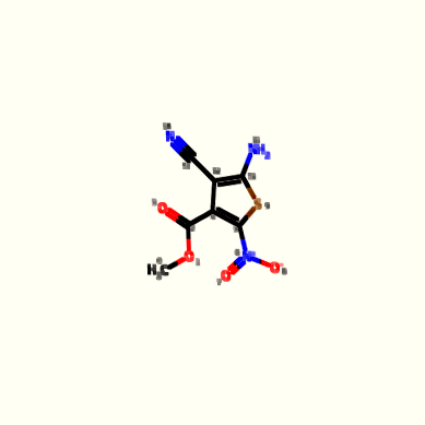 COC(=O)c1c([N+](=O)[O-])sc(N)c1C#N